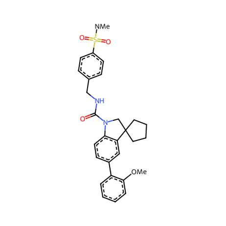 CNS(=O)(=O)c1ccc(CNC(=O)N2CC3(CCCC3)c3cc(-c4ccccc4OC)ccc32)cc1